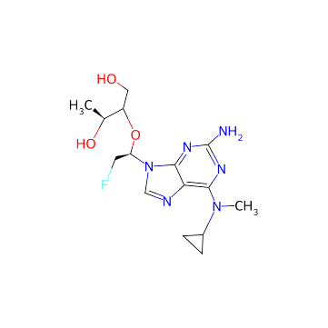 C[C@H](O)C(CO)O[C@H](CF)n1cnc2c(N(C)C3CC3)nc(N)nc21